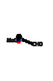 COC(=O)c1ccccc1NCCCCCCCCC=O